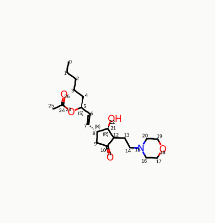 CCCCC[C@@H](C=C[C@H]1CC(=O)C(CCN2CCOCC2)[C@@H]1O)OC(C)=O